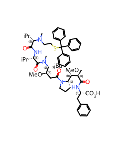 CC[C@H](C)[C@@H]([C@@H](CC(=O)N1CCC[C@H]1[C@H](OC)[C@@H](C)C(=O)N[C@@H](Cc1ccccc1)C(=O)O)OC)N(C)C(=O)[C@@H](NC(=O)[C@H](C(C)C)N(C)CCSC(c1ccccc1)(c1ccccc1)c1ccccc1)C(C)C